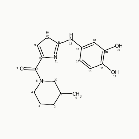 CC1CCCN(C(=O)c2csc(Nc3ccc(O)c(O)c3)n2)C1